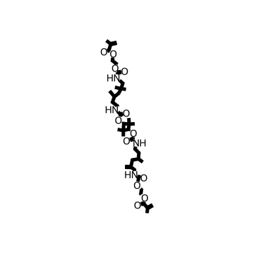 C=C(CNC(=O)OCCOC(=O)C(=C)C)CC(C)CCNC(=O)O[C@H]1C(C)(C)[C@H](OC(=O)NCCC(C)CC(C)(C)CNC(=O)OCCOC(=O)C(=C)C)C1(C)C